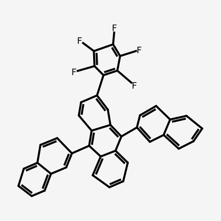 Fc1c(F)c(F)c(-c2ccc3c(-c4ccc5ccccc5c4)c4ccccc4c(-c4ccc5ccccc5c4)c3c2)c(F)c1F